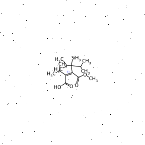 COC(=O)/C(=C(\C(=O)O)C(C)C)C([SiH3])(C(C)C)C(C)C